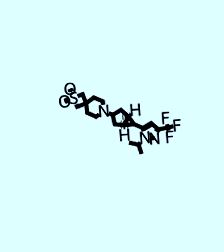 CC(C)n1nc(C(F)(F)F)cc1C1[C@H]2CC(N3CCC4(CC3)CS(=O)(=O)C4)C[C@@H]12